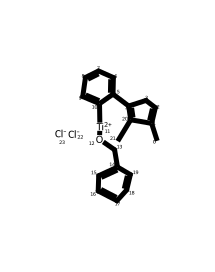 CC1=CCC(c2cccc[c]2[Ti+2][O]Cc2ccccc2)=C1C.[Cl-].[Cl-]